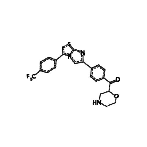 O=C(c1ccc(-c2cn3c(-c4ccc(C(F)(F)F)cc4)csc3n2)cc1)C1CNCCO1